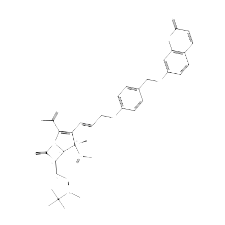 C[C@@H](O[SiH](C)C(C)(C)C)[C@H]1C(=O)N2C(C(=O)O)=C(/C=C/COc3ccc(COc4ccc5ccc(=O)oc5c4)cc3)[C@](C)([N+](=O)[O-])[C@@H]12